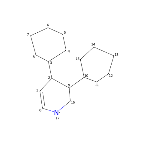 C1=CC(C2CCCCC2)C(C2CCCCC2)C[N]1